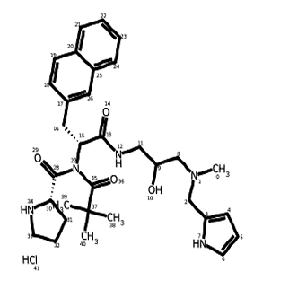 CN(Cc1ccc[nH]1)CC(O)CNC(=O)[C@@H](Cc1ccc2ccccc2c1)N(C(=O)[C@@H]1CCCN1)C(=O)C(C)(C)C.Cl